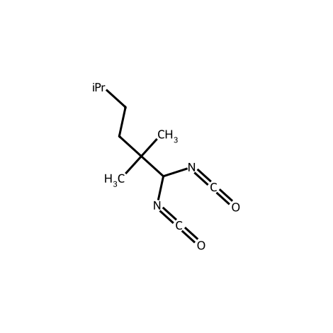 CC(C)CCC(C)(C)C(N=C=O)N=C=O